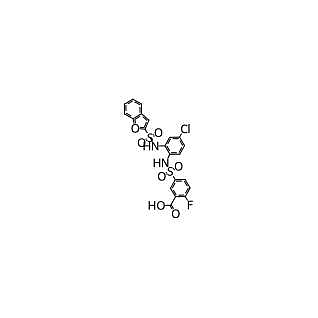 O=C(O)c1cc(S(=O)(=O)Nc2ccc(Cl)cc2NS(=O)(=O)c2cc3ccccc3o2)ccc1F